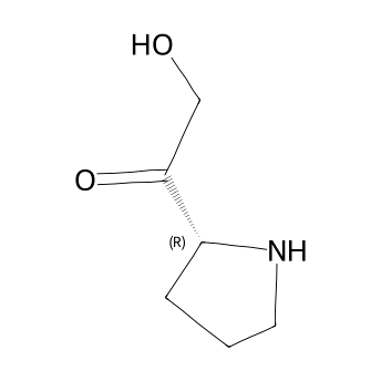 O=C(CO)[C@H]1CCCN1